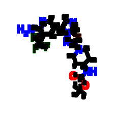 CC(C)(C)OC(=O)NC1CCN(c2nn3c(-c4cnc(N)c(C(F)(F)F)c4)cnc3s2)CC1